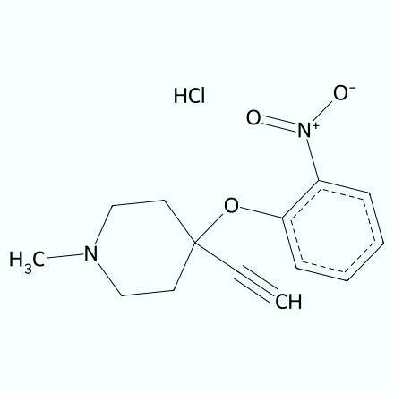 C#CC1(Oc2ccccc2[N+](=O)[O-])CCN(C)CC1.Cl